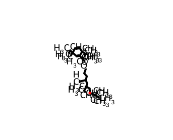 C#CC(CCCOOC(C)(C)C1=CC(C)(C(C)(C)C)C=CC1(C)C(C)(C)C)CC(C)(CCC(C)(C)C(C)(C)C)C(C)(C)C